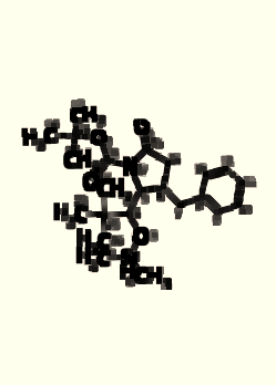 C[SiH](C)OC(C1C(Cc2ccccc2)CC(=O)N1C(=O)OC(C)(C)C)C(C)(C)C